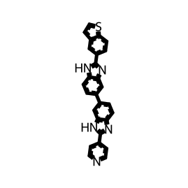 c1cc(-c2nc3ccc(-c4ccc5[nH]c(-c6ccc7sccc7c6)nc5c4)cc3[nH]2)ccn1